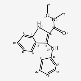 CON(C)C(=O)c1[nH]c2ccccc2c1Nc1ccccc1